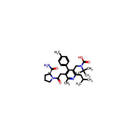 Cc1ccc(-c2c(CC(=O)N3CCC[C@H]3C(N)=O)c(C)nc(CC(C)C)c2CN(C(=O)O)C(C)(C)C)cc1